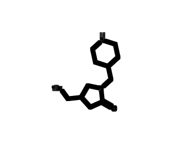 CC(C)(C)CC1CC(=O)N(CC2CCNCC2)C1